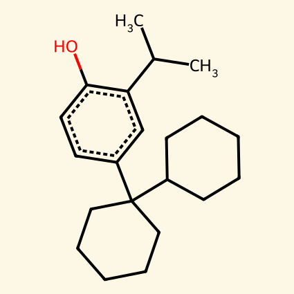 CC(C)c1cc(C2(C3CCCCC3)CCCCC2)ccc1O